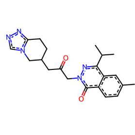 Cc1ccc2c(=O)n(CC(=O)CC3CCc4nncn4C3)nc(C(C)C)c2c1